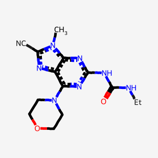 CCNC(=O)Nc1nc(N2CCOCC2)c2nc(C#N)n(C)c2n1